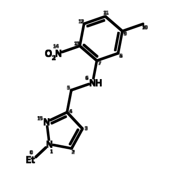 CCn1ccc(CNc2cc(C)ccc2[N+](=O)[O-])n1